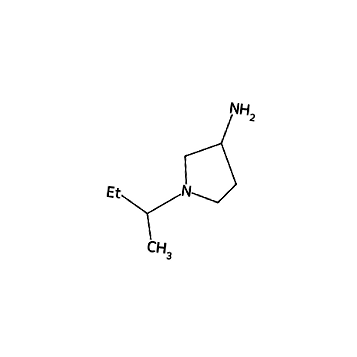 CCC(C)N1CCC(N)C1